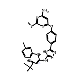 CSc1nc(N)cc(Oc2ccc(-c3nnc(N/C(=C/C(=N)C(C)(C)C)Nc4cccc(C)c4)[nH]3)cc2)n1